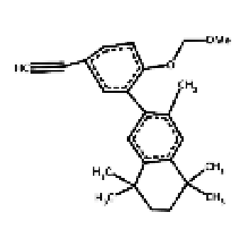 C#Cc1ccc(OCOC)c(-c2cc3c(cc2C)C(C)(C)CCC3(C)C)c1